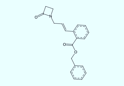 O=C(OCc1ccccc1)c1ccccc1/C=C/CN1CCC1=O